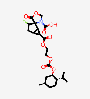 CC(C)[C@@H]1CC[C@@H](C)C[C@H]1OC(=O)OCCOC(=O)C1C2CC(F)C3(C(=O)OCN3C(=O)O)C21